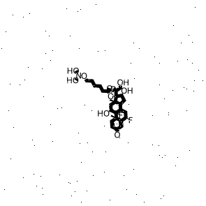 C[C@]12C=CC(=O)C=C1[C@@H](F)CC1C3C[C@@H](O)[C@](OC(=O)CCCCCON(O)O)(C(=O)CO)[C@@]3(C)C[C@H](O)[C@@]12F